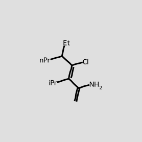 C=C(N)/C(=C(\Cl)C(CC)CCC)C(C)C